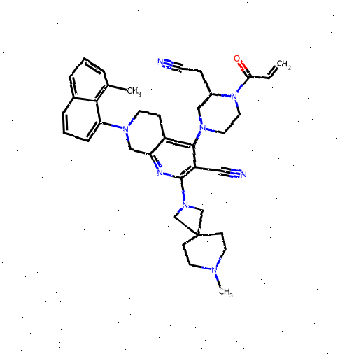 C=CC(=O)N1CCN(c2c(C#N)c(N3CC4(CCN(C)CC4)C3)nc3c2CCN(c2cccc4cccc(C)c24)C3)CC1CC#N